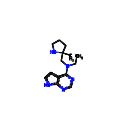 CCN(CC1(C)CCCN1)c1ncnc2[nH]ccc12